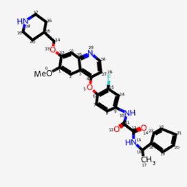 COc1cc2c(Oc3ccc(NC(=O)C(=O)NC(C)c4ccccc4)cc3F)ccnc2cc1OCC1CCNCC1